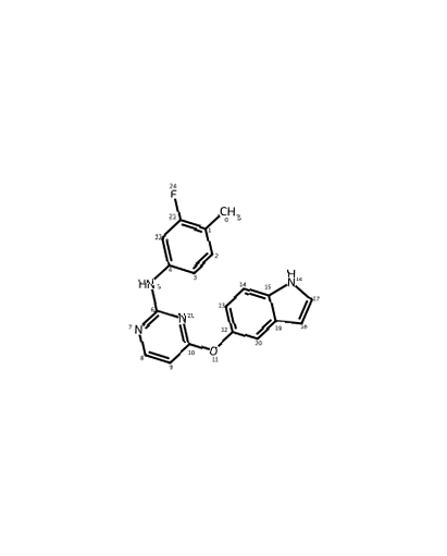 Cc1ccc(Nc2nccc(Oc3ccc4[nH]ccc4c3)n2)cc1F